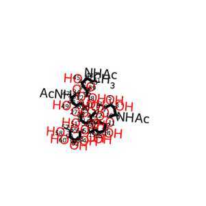 CC(=O)NC1C(O)[C@H](O)[C@H](CO)O[C@H]1O[C@@H]1C(O)[C@H](O)C(CO)O[C@@H]1OCC1O[C@@H](O[C@@H]2C(CO)O[C@@H](O[C@@H]3C(CO)O[C@@H](C)C(NC(C)=O)[C@H]3O)[C@@H](NC(C)=O)C2O)[C@H](O)C(O[C@H]2O[C@H](CO)[C@@H](O)C(O)C2O)[C@@H]1O